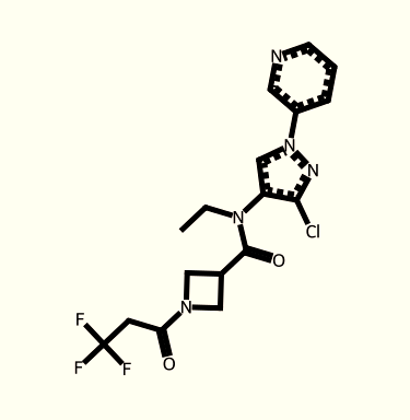 CCN(C(=O)C1CN(C(=O)CC(F)(F)F)C1)c1cn(-c2cccnc2)nc1Cl